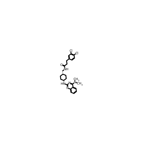 CN(C)c1nc(N[C@H]2CC[C@@H](CNC(=O)CCc3ccc(Cl)c(Cl)c3)CC2)nc2ccccc12